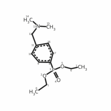 CCOP(=O)(OCC)c1ccc(CN(C)C)cc1